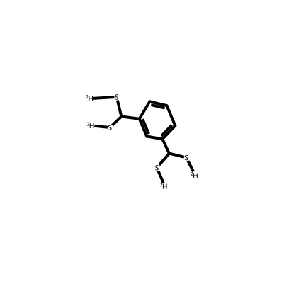 [2H]SC(S[2H])c1cccc(C(S[2H])S[2H])c1